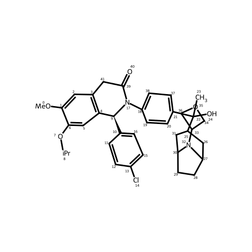 COc1cc2c(cc1OC(C)C)[C@H](c1ccc(Cl)cc1)N(c1ccc(C(C)(O)C3CC4CCC(C3)N4C3COC3)cc1)C(=O)C2